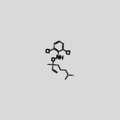 C=CC(C)(CCCC(C)C)ONc1c(Cl)cccc1Cl